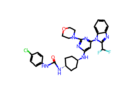 O=C(Nc1ccc(Cl)cc1)N[C@H]1CC[C@H](Nc2cc(-n3c(C(F)F)nc4ccccc43)nc(N3CCOCC3)n2)CC1